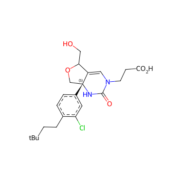 CC(C)(C)CCc1ccc([C@@]23COC(CO)C2=CN(CCC(=O)O)C(=O)N3)cc1Cl